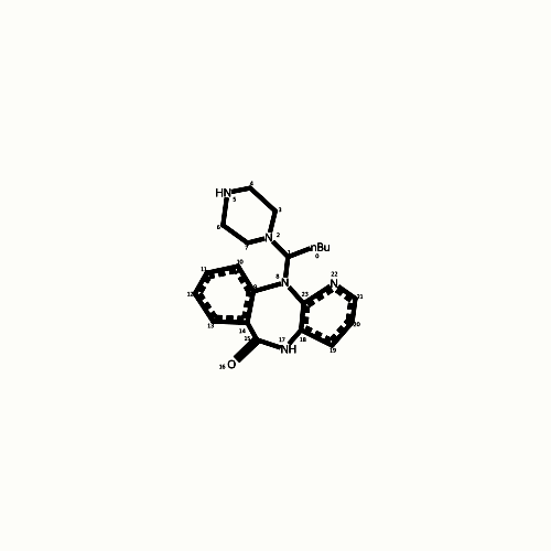 CCCCC(N1CCNCC1)N1c2ccccc2C(=O)Nc2cccnc21